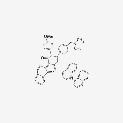 COc1ccc(C2C(=O)c3c(ccc4c3ccc3ccccc34)CC2c2ccc(CN(C)C)cc2)cc1.c1ccc2ncccc2c1.c1ccc2ncccc2c1